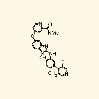 CNC(=O)c1cc(Oc2ccc3c(c2)nc(Nc2ccc(C)c(-c4ccncc4Cl)c2)n3C)ccn1